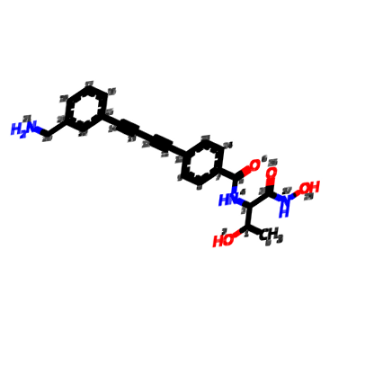 CC(O)C(NC(=O)c1ccc(C#CC#Cc2cccc(CN)c2)cc1)C(=O)NO